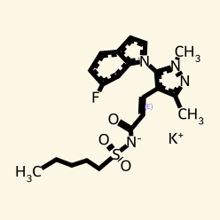 CCCCCS(=O)(=O)[N-]C(=O)/C=C/c1c(C)nn(C)c1-n1ccc2ccc(F)cc21.[K+]